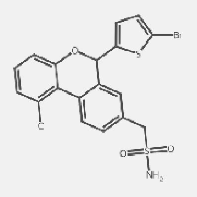 NS(=O)(=O)Cc1ccc2c(c1)C(c1ccc(Br)s1)Oc1cccc(Cl)c1-2